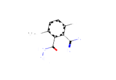 COc1ccc(C(=O)O)c(C(=N)N)c1C(=O)NN